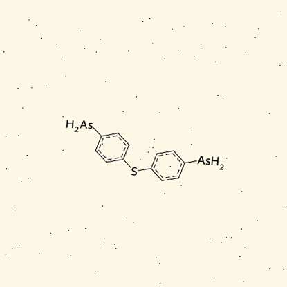 [AsH2]c1ccc(Sc2ccc([AsH2])cc2)cc1